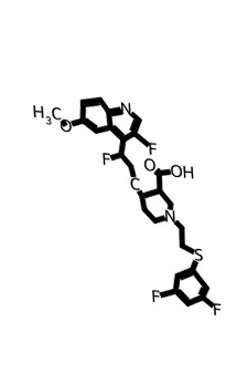 COc1ccc2ncc(F)c(C(F)CCC3CCN(CCSc4cc(F)cc(F)c4)CC3C(=O)O)c2c1